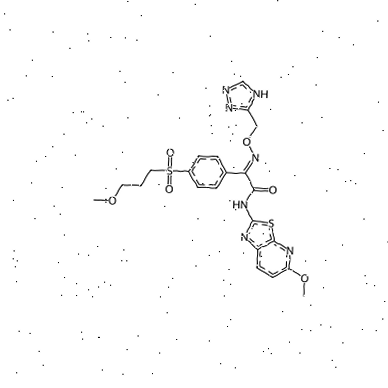 COCCCS(=O)(=O)c1ccc(/C(=N\OCc2nnc[nH]2)C(=O)Nc2nc3ccc(OC)nc3s2)cc1